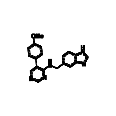 COc1ccc(-c2cncnc2NCc2ccc3[nH]cnc3c2)cc1